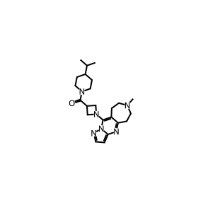 CC(C)C1CCN(C(=O)C2CN(c3c4c(nc5ccnn35)CCN(C)CC4)C2)CC1